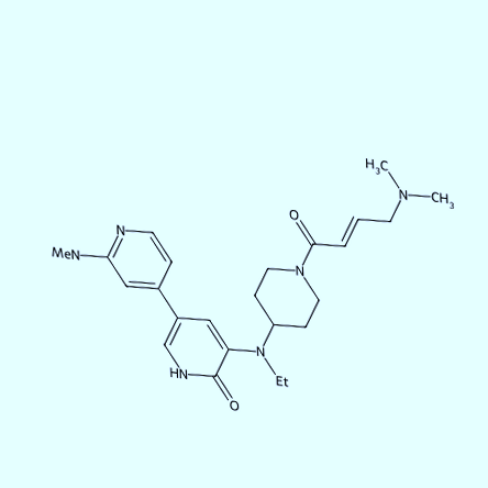 CCN(c1cc(-c2ccnc(NC)c2)c[nH]c1=O)C1CCN(C(=O)/C=C/CN(C)C)CC1